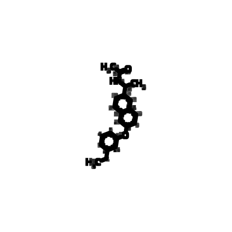 CCc1cccc(Oc2ccc3cc(C(C)NC(C)=O)ccc3c2)c1